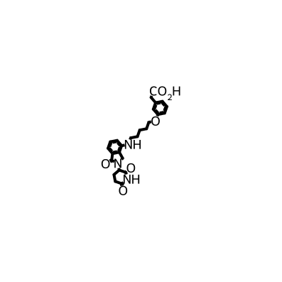 O=C(O)Cc1cccc(OCCCCCNc2cccc3c2CN(C2CCC(=O)NC2=O)C3=O)c1